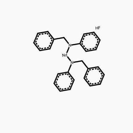 F.c1ccc(C[N]([Nd][N](Cc2ccccc2)c2ccccc2)c2ccccc2)cc1